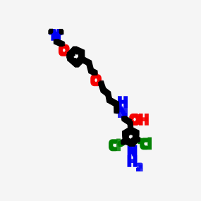 CN(C)CCOc1ccc(CCCOCCCCCCNCC(O)c2cc(Cl)c(N)c(Cl)c2)cc1